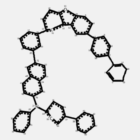 C1=CC(c2ccc(-c3ccc4oc5ccc(-c6cccc(-c7ccc8cc(N(c9ccccc9)c9ccc(-c%10ccccc%10)cc9)ccc8c7)c6)cc5c4c3)cc2)=CCC1